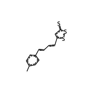 Cc1ccc(C=CC=Cc2cc(=S)ss2)cc1